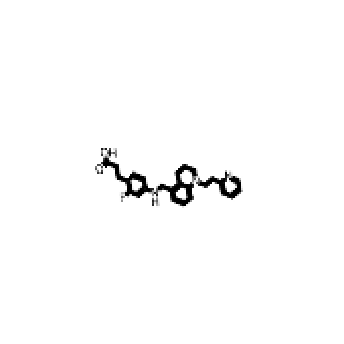 O=C(O)CCc1ccc(NCc2cccc3c2CCCN3CCc2ccccn2)cc1F